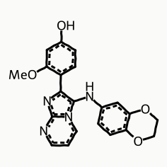 COc1cc(O)ccc1-c1nc2ncccn2c1Nc1ccc2c(c1)OCCO2